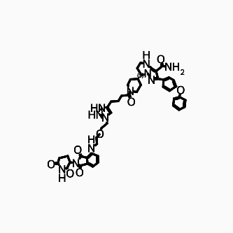 NC(=O)c1c(-c2ccc(Oc3ccccc3)cc2)nn2c1NCC[C@H]2C1CCN(C(=O)CCCC2=CN(CCOCCNc3cccc4c3C(=O)N(C3CCC(=O)NC3=O)C4=O)NN2)CC1